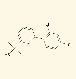 CC(C)(S)c1cccc(-c2ccc(Cl)cc2Cl)c1